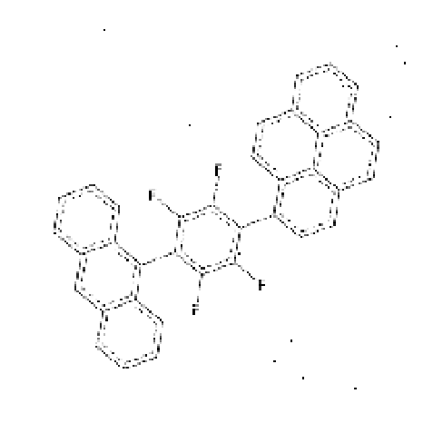 Fc1c(F)c(-c2ccc3ccc4cccc5ccc2c3c45)c(F)c(F)c1-c1c2ccccc2cc2ccccc12